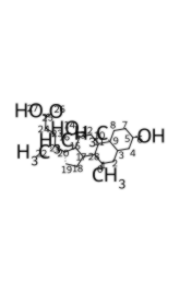 C[C@@H]1CC2C[C@H](O)CC[C@]2(C)C2C[C@H](O)[C@@]3(C)C(CC[C@@H]3[C@H](C)CCC(=O)O)C21